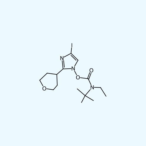 CCN(C(=O)On1cc(I)nc1C1CCOCC1)C(C)(C)C